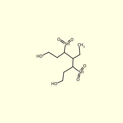 CCC(C(CCO)[SH](=O)=O)C(CCO)[SH](=O)=O